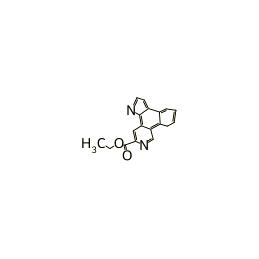 CCOC(=O)c1cc2c3c(c4c(c2cn1)CC=CC=4)=CC=N3